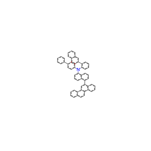 c1ccc(-c2ccc(N(c3ccccc3-c3ccc4ccccc4c3)c3cccc4c(-c5cc6c7ccccc7ccc6c6ccccc56)cccc34)cc2)cc1